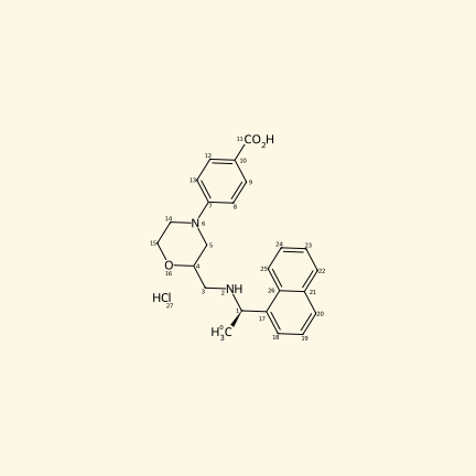 C[C@@H](NCC1CN(c2ccc(C(=O)O)cc2)CCO1)c1cccc2ccccc12.Cl